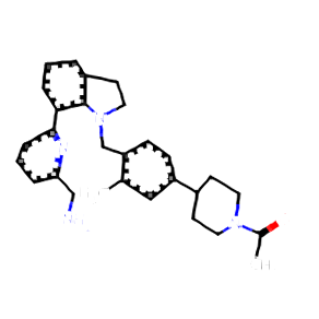 CC(=O)N1CCC(c2ccc(CN3CCc4cccc(-c5cccc(CN)n5)c43)c(C)c2)CC1